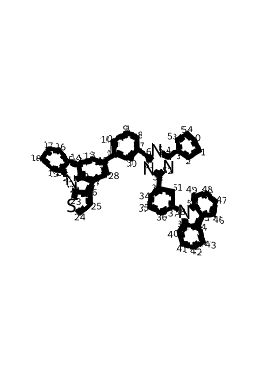 c1ccc(-c2nc(-c3cccc(-c4cc5c6ccccc6n6c7sccc7c(c4)c56)c3)nc(-c3cccc(-n4c5ccccc5c5ccccc54)c3)n2)cc1